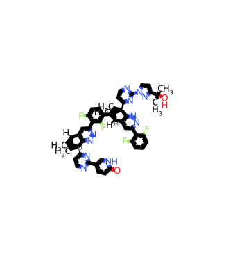 CC(C)(O)c1ccn(-c2nccc([C@@]34CC(c5ccc(F)c(-c6cc7c(nn6)[C@@]6(c8ccnc(-c9ccc(=O)[nH]c9)n8)CC[C@@H]7C6(C)C)c5F)[C@@H](c5cc(-c6c(F)cccc6F)nnc53)C4(C)C)n2)n1